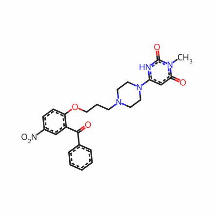 Cn1c(=O)cc(N2CCN(CCCOc3ccc([N+](=O)[O-])cc3C(=O)c3ccccc3)CC2)[nH]c1=O